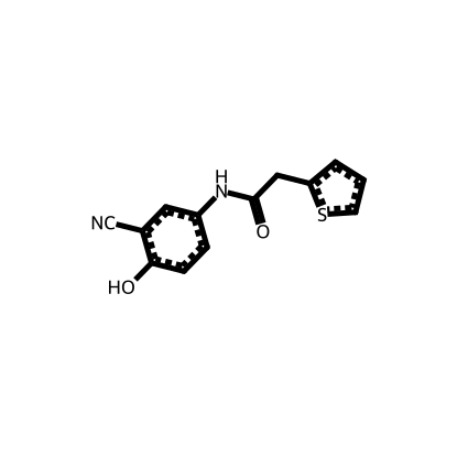 N#Cc1cc(NC(=O)Cc2cccs2)ccc1O